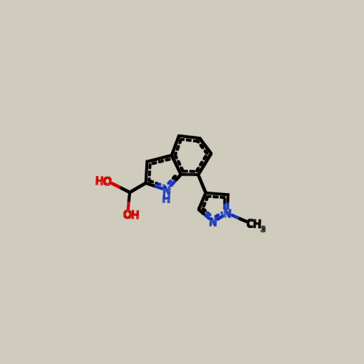 Cn1cc(-c2cccc3cc(C(O)O)[nH]c23)cn1